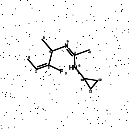 C/C=C(/F)C(C)/N=C(/C)NC1CC1